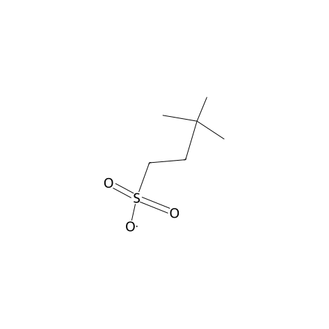 CC(C)(C)CCS([O])(=O)=O